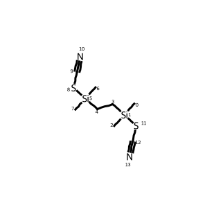 C[Si](C)(CC[Si](C)(C)SC#N)SC#N